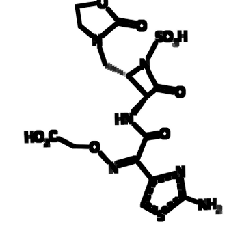 Nc1nc(C(=NOCC(=O)O)C(=O)N[C@@H]2C(=O)N(S(=O)(=O)O)[C@H]2CN2CCOC2=O)cs1